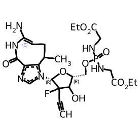 C#CC1(F)C(O)[C@@H](COP(=O)(NCC(=O)OCC)NCC(=O)OCC)O[C@H]1n1cnc2c1C(C)C/C=C(\N)NC2=O